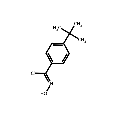 CC(C)(C)c1ccc(/C(Cl)=N/O)cc1